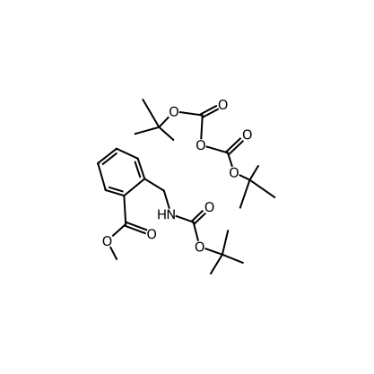 CC(C)(C)OC(=O)OC(=O)OC(C)(C)C.COC(=O)c1ccccc1CNC(=O)OC(C)(C)C